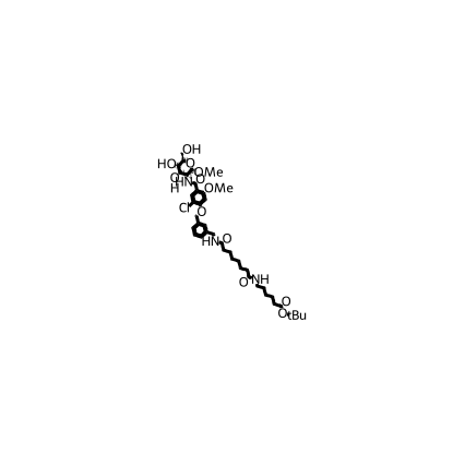 COc1cc(OCc2cccc(CNC(=O)CCCCCCC(=O)NCCCCCC(=O)OC(C)(C)C)c2)c(Cl)cc1C(=O)N[C@H]1[C@@H](OC)O[C@H](CO)[C@@H](O)[C@@H]1O